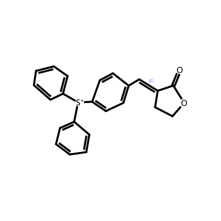 O=C1OCC/C1=C\c1ccc([S+](c2ccccc2)c2ccccc2)cc1